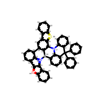 c1ccc(C2(c3ccccc3)c3ccccc3N3c4c(cccc42)B2c4c(cc5c(sc6ccccc65)c43)-c3cccc4c5oc6ccccc6c5n2c34)cc1